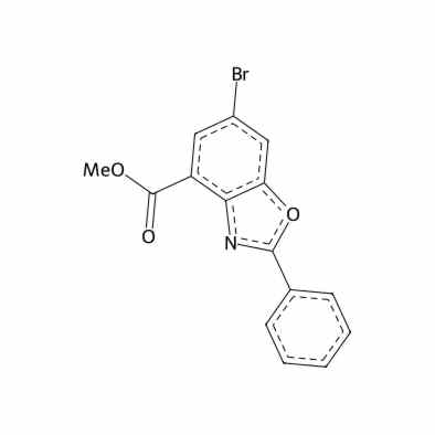 COC(=O)c1cc(Br)cc2oc(-c3ccccc3)nc12